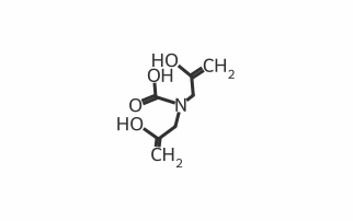 C=C(O)CN(CC(=C)O)C(=O)O